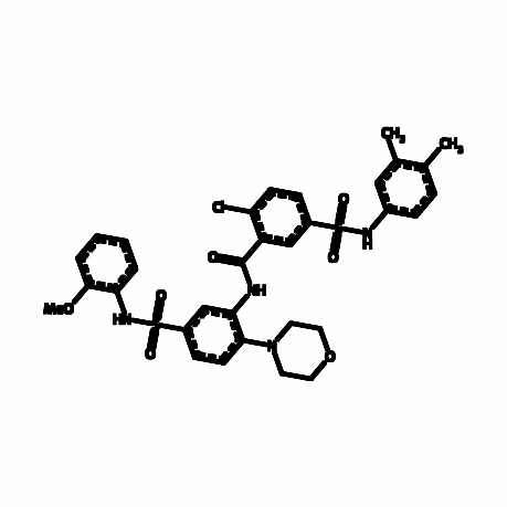 COc1ccccc1NS(=O)(=O)c1ccc(N2CCOCC2)c(NC(=O)c2cc(S(=O)(=O)Nc3ccc(C)c(C)c3)ccc2Cl)c1